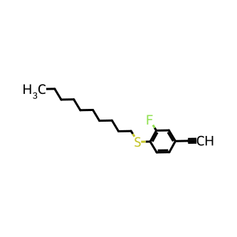 C#Cc1ccc(SCCCCCCCCCC)c(F)c1